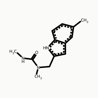 CNC(=O)N(C)Cc1cc2cc(C)ccc2[nH]1